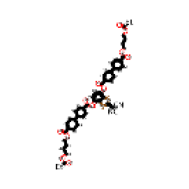 CCC(=O)OCCCCOC(=O)C1CCC(C2CCC(C(=O)Oc3ccc(OC(=O)C4CCC(C5CCC(C(=O)OCCCCOC(=O)CC)CC5)CC4)c4c3SC(=C(C#N)C#N)S4)CC2)CC1